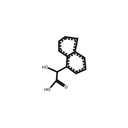 O=C(O)C(O)c1cccc2ccccc12